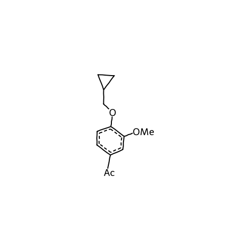 COc1cc(C(C)=O)ccc1OCC1CC1